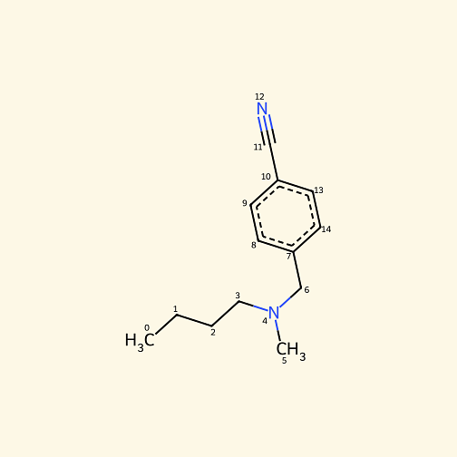 CCCCN(C)Cc1ccc(C#N)cc1